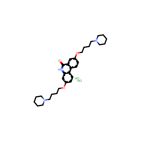 Cl.Cl.O=c1[nH]c2cc(OCCCCN3CCCCC3)ccc2c2ccc(OCCCCN3CCCCC3)cc12